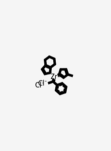 CC1=CC[C](/[Zr+2](=[C](/C)c2ccccc2)[CH]2C=CC3=C2CCCC3)=C1.[Cl-].[Cl-]